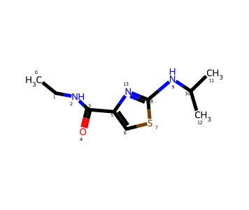 CCNC(=O)c1csc(NC(C)C)n1